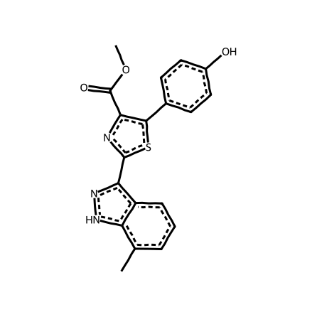 COC(=O)c1nc(-c2n[nH]c3c(C)cccc23)sc1-c1ccc(O)cc1